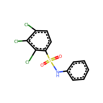 O=S(=O)(Nc1ccccc1)c1ccc(Cl)c(Cl)c1Cl